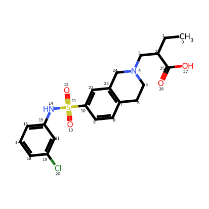 CCC(CN1CCc2ccc(S(=O)(=O)Nc3cccc(Cl)c3)cc2C1)C(=O)O